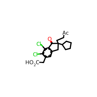 CC(=O)CCC1(C2CCCC2)Cc2cc(CC(=O)O)c(Cl)c(Cl)c2C1=O